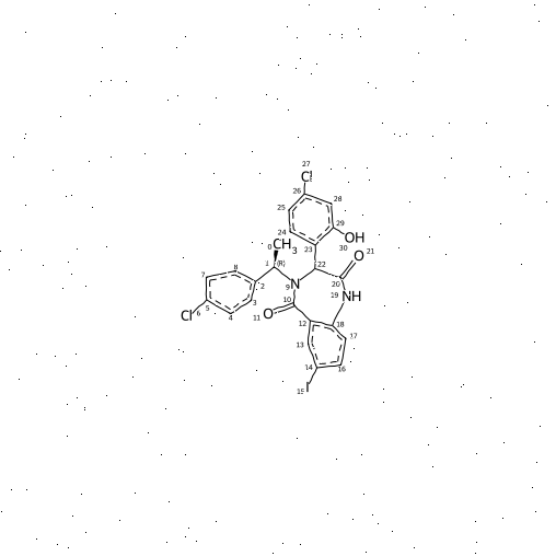 C[C@H](c1ccc(Cl)cc1)N1C(=O)c2cc(I)ccc2NC(=O)C1c1ccc(Cl)cc1O